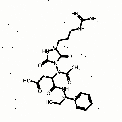 CC(=O)N(C(CC(=O)O)C(=O)N[C@H](CO)c1ccccc1)N1C(=O)N[C@@H](CCCNC(=N)N)C1=O